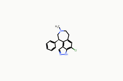 CN1CCc2cc(Cl)c3[nH]ncc3c2[C@@H](c2ccccc2)C1